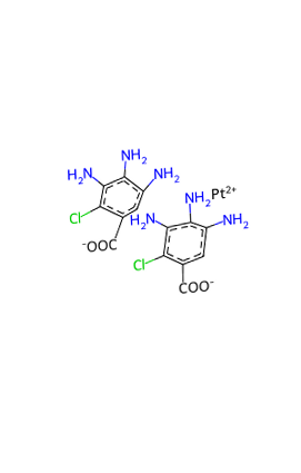 Nc1cc(C(=O)[O-])c(Cl)c(N)c1N.Nc1cc(C(=O)[O-])c(Cl)c(N)c1N.[Pt+2]